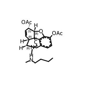 CC(=O)Oc1ccc2c3c1O[C@H]1[C@@H](OC(C)=O)C=C[C@H]4[C@@H](C2)N(C)CC[C@@]341.CCCCNC